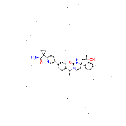 C[C@@H](c1ccc(-c2ccc(C3(C(N)=O)CC3)nc2)cc1)N1C=CC(CC(C)(C)O)(c2ccccc2)NC1=O